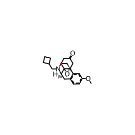 COc1ccc2c(c1)[C@]13CCN(CC4CCC4)[C@H](C2)C1(OC)CCC(=O)C3